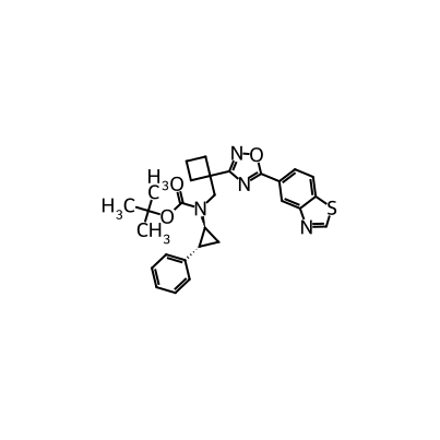 CC(C)(C)OC(=O)N(CC1(c2noc(-c3ccc4scnc4c3)n2)CCC1)[C@H]1C[C@@H]1c1ccccc1